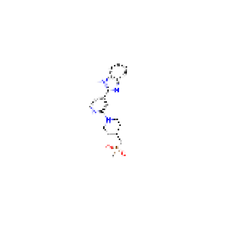 Cn1c(-c2ccnc(N3CCC(CS(C)(=O)=O)CC3)c2)nc2ccccc21